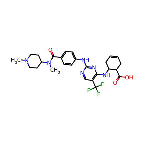 CN1CCC(N(C)C(=O)c2ccc(Nc3ncc(C(F)(F)F)c(NC4CC=CCC4C(=O)O)n3)cc2)CC1